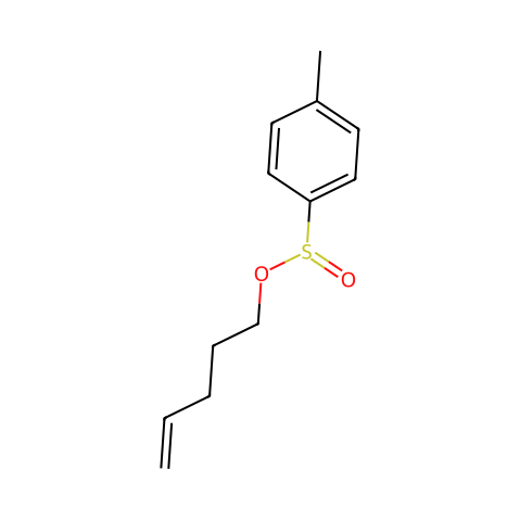 C=CCCCOS(=O)c1ccc(C)cc1